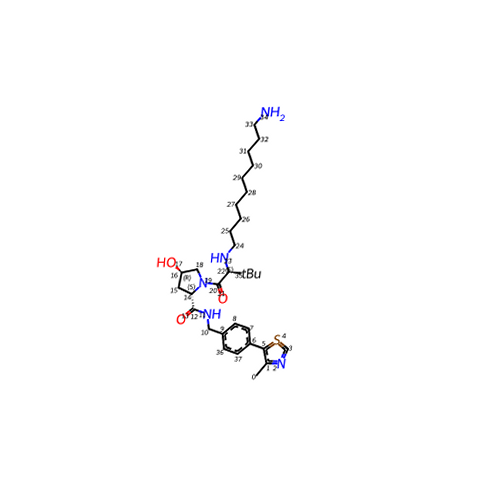 Cc1ncsc1-c1ccc(CNC(=O)[C@@H]2C[C@@H](O)CN2C(=O)[C@@H](NCCCCCCCCCCN)C(C)(C)C)cc1